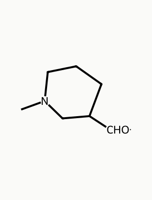 CN1CCCC([C]=O)C1